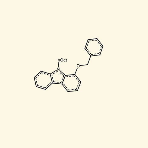 CCCCCCCCn1c2ccccc2c2cccc(OCc3ccccc3)c21